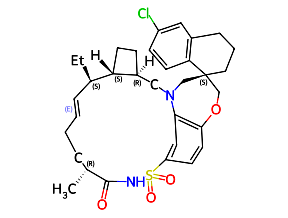 CC[C@@H]1/C=C/CC[C@@H](C)C(=O)NS(=O)(=O)c2ccc3c(c2)N(C[C@@H]2CC[C@H]21)C[C@@]1(CCCc2cc(Cl)ccc21)CO3